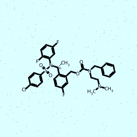 C[C@H](c1ccc(F)cc1COC(=O)N(CCN(C)C)Cc1ccccc1)N(c1cc(F)ccc1F)S(=O)(=O)c1ccc(Cl)cc1